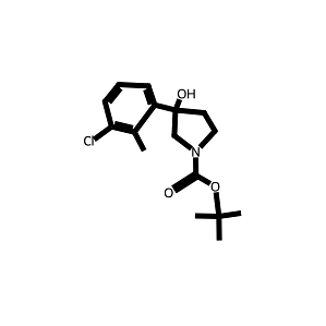 Cc1c(Cl)cccc1C1(O)CCN(C(=O)OC(C)(C)C)C1